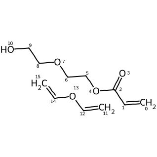 C=CC(=O)OCCOCCO.C=COC=C